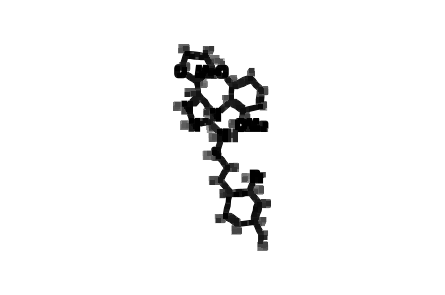 COc1cccc(OC)c1-n1c(NSCCc2ccc(F)cc2Br)nnc1-c1ccco1